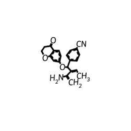 C=C(N)/C(=C\C)C(Oc1ccc2c(c1)OCCC2=O)c1ccc(C#N)cc1